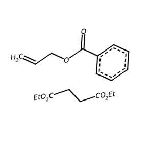 C=CCOC(=O)c1ccccc1.CCOC(=O)CCC(=O)OCC